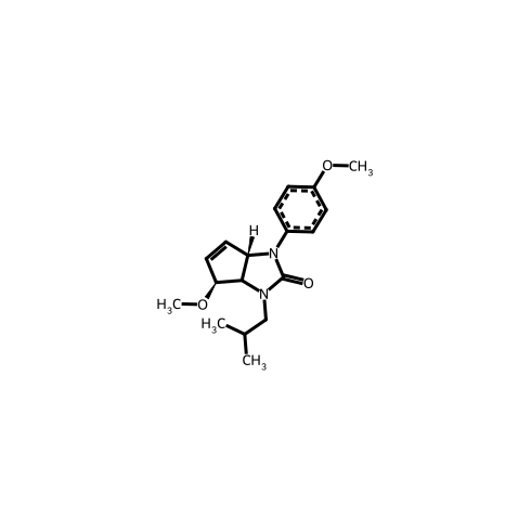 COc1ccc(N2C(=O)N(CC(C)C)C3[C@@H](OC)C=C[C@@H]32)cc1